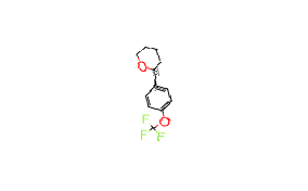 FC(F)(F)Oc1ccc([C@@H]2CCCCO2)cc1